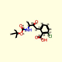 CC(NC(=O)OC(C)(C)C)C(=O)Cc1cccc(Cl)c1C(=O)O